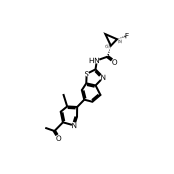 CC(=O)c1cc(C)c(-c2ccc3nc(NC(=O)[C@@H]4C[C@@H]4F)sc3c2)cn1